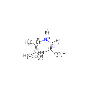 C/C=C(\C)C(=O)O.CC/C(=C(/C)C(=O)O)N(CC)CC